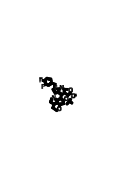 COC(=O)C(OC(C)(C)C)c1c(C)nc2c(ccn2Cc2ccc(F)c(F)c2)c1-c1ccc2c3c(ccnc13)CCO2